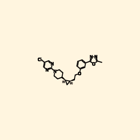 Cc1nnc(-c2cccc(OCC[C@H]3C[C@H]3C3CCN(c4ncc(Cl)cn4)CC3)c2)o1